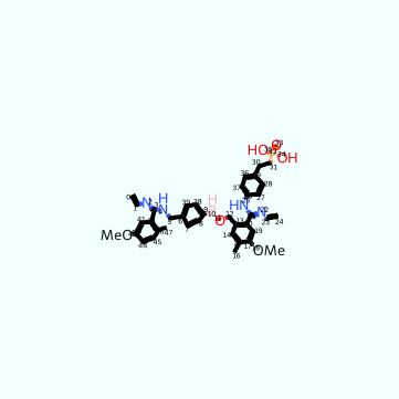 C=C/N=C(/NCc1ccc(BOCc2cc(C)c(OC)cc2/C(=N\C=C)Nc2ccc(CCP(=O)(O)O)cc2)cc1)c1cc(OC)ccc1C